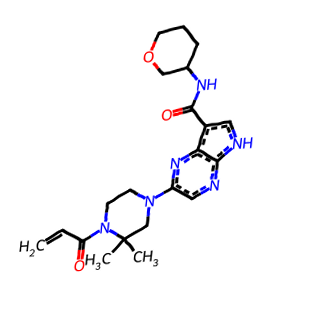 C=CC(=O)N1CCN(c2cnc3[nH]cc(C(=O)NC4CCCOC4)c3n2)CC1(C)C